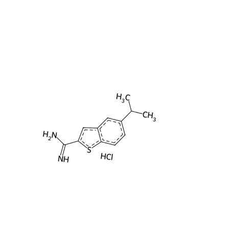 CC(C)c1ccc2sc(C(=N)N)cc2c1.Cl